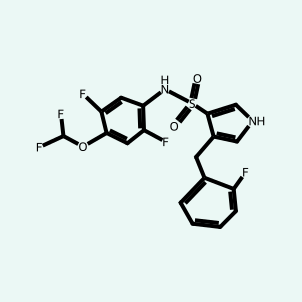 O=S(=O)(Nc1cc(F)c(OC(F)F)cc1F)c1c[nH]cc1Cc1ccccc1F